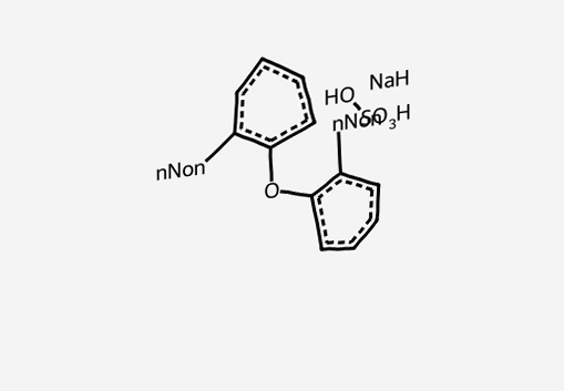 CCCCCCCCCc1ccccc1Oc1ccccc1CCCCCCCCC.O=S(=O)(O)O.[NaH]